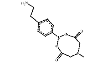 CN1CC(=O)OB(c2ccc(CCN)cc2)OC(=O)C1